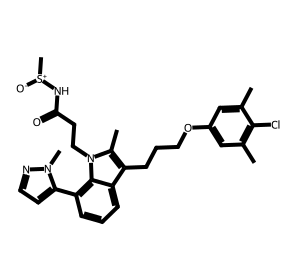 Cc1cc(OCCCc2c(C)n(CCC(=O)N[S+](C)[O-])c3c(-c4ccnn4C)cccc23)cc(C)c1Cl